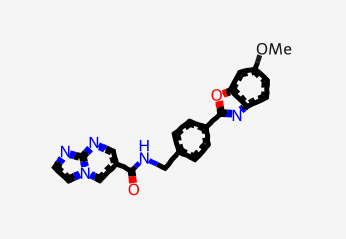 COc1ccc2nc(-c3ccc(CNC(=O)c4cnc5nccn5c4)cc3)oc2c1